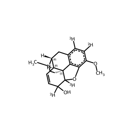 [2H]c1c([2H])c(OC)c2c3c1C[C@@H]1[C@@H]4C=CC([2H])(O)C([2H])(O2)[C@]34CCN1C